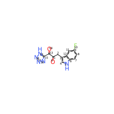 O=C(Cc1c[nH]c2ccc(F)cc12)C(=O)c1nnn[nH]1